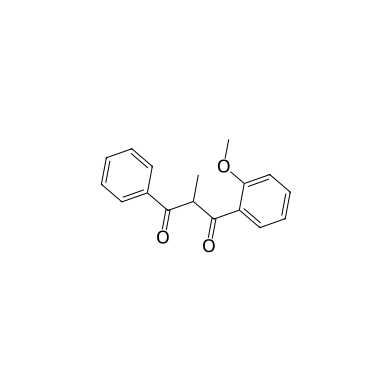 COc1ccccc1C(=O)C(C)C(=O)c1ccccc1